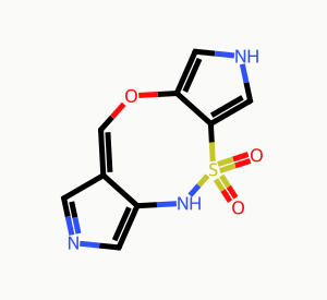 O=S1(=O)NC2=CN=CC2=COc2c[nH]cc21